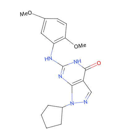 COc1ccc(OC)c(Nc2nc3c(cnn3C3CCCC3)c(=O)[nH]2)c1